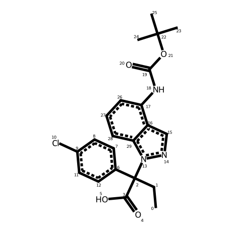 CCC(C(=O)O)(c1ccc(Cl)cc1)n1ncc2c(NC(=O)OC(C)(C)C)cccc21